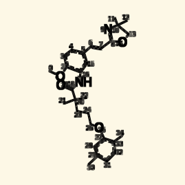 COc1ccc(/C=C/C2=NC(C)(C)CO2)cc1NC(=O)C(C)(C)CCCOc1cc(C)ccc1C